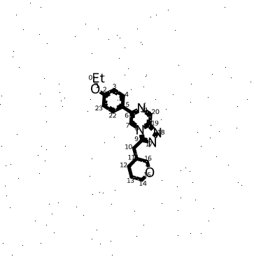 CCOc1ccc(-c2cn3c(CC4CCCOC4)nnc3cn2)cc1